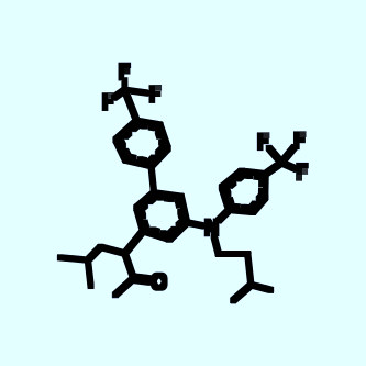 CC(=O)C(CC(C)C)c1cc(-c2ccc(C(F)(F)F)cc2)cc(N(CCC(C)C)c2ccc(C(F)(F)F)cc2)c1